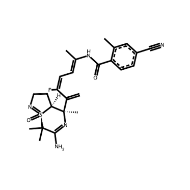 C=C(/C(F)=C\C=C(/C)NC(=O)c1ccc(C#N)cc1C)[C@@]1(C)N=C(N)C(C)(C)[S@@]2(=O)=NCC[C@@H]12